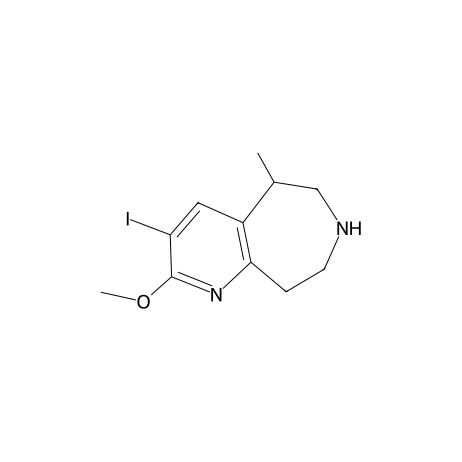 COc1nc2c(cc1I)C(C)CNCC2